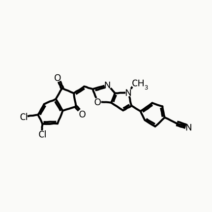 Cn1c(-c2ccc(C#N)cc2)cc2oc(C=C3C(=O)c4cc(Cl)c(Cl)cc4C3=O)nc21